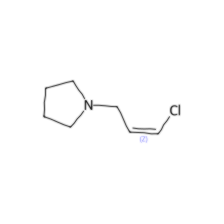 Cl/C=C\CN1CCCC1